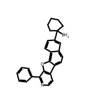 BC1(c2ccc3c(ccc4c5ccnc(-c6ccccc6)c5oc34)c2)CCCCC1